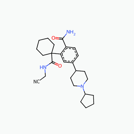 N#CCNC(=O)C1(c2cc(C3CCN(C4CCCC4)CC3)ccc2C(N)=O)CCCCC1